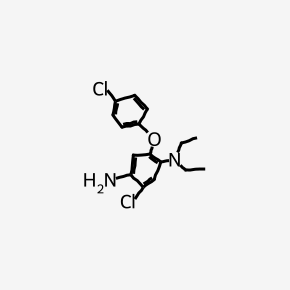 CCN(CC)c1cc(Cl)c(N)cc1Oc1ccc(Cl)cc1